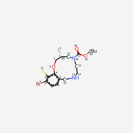 C[C@H]1COc2c(ccc(Br)c2F)CNCCN(C(=O)OC(C)(C)C)C1